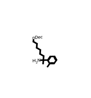 CCCCCCCCCCCCCCCCC(C)(N)c1ccccc1C